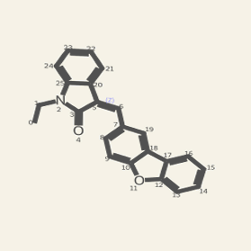 CCN1C(=O)/C(=C\c2ccc3oc4ccccc4c3c2)c2ccccc21